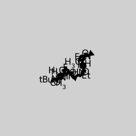 CCC(CCC1CC1NC(=O)c1cc(F)c(C)c(-c2ccc(C(=O)NC(C)C(C)(C)C)cn2)c1)NC(=O)c1ccc(-c2cc(C(=O)NC3CC3)cc(F)c2C)nc1